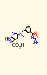 CN(C)c1noc(-c2cccc(CN(C)c3cnc4[nH]nc(C(=O)O)c4c3)c2)n1